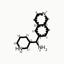 NC(c1ccc2cnccc2c1)C1CCCNC1